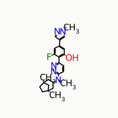 CN(c1ccc(-c2c(O)cc(-c3cnn(C)c3)cc2F)nn1)[C@H]1C[C@]2(C)CC[C@](C)(C1)C2